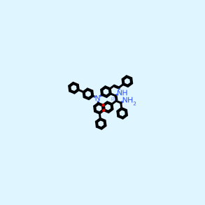 NC(/C(=C1\NC(c2ccccc2)=Cc2ccc(N(c3ccc(-c4ccccc4)cc3)c3ccc(-c4ccccc4)cc3)cc21)c1ccccc1)c1ccccc1